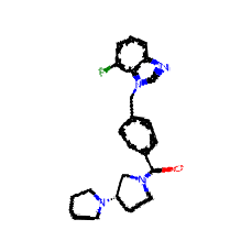 O=C(c1ccc(Cn2cnc3cccc(F)c32)cc1)N1CC[C@H](N2CCCC2)C1